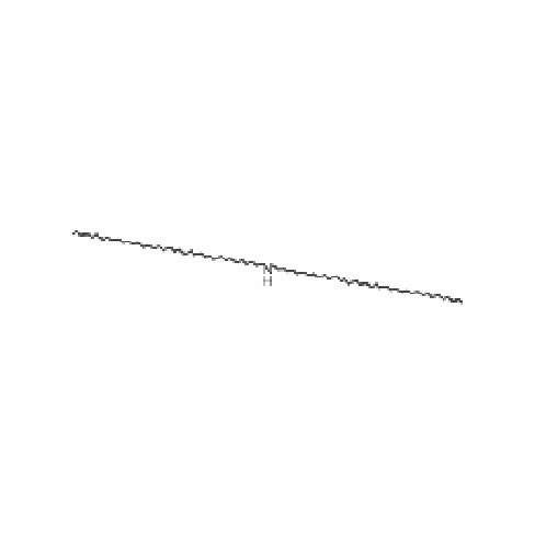 CCCCCCCCCCCCCCCCCCCCCCCCCCCCCCCCCCCCCCNCCCCCCCCCCCCCCCCCCCCCCCCCCCCCCCCCCCCCC